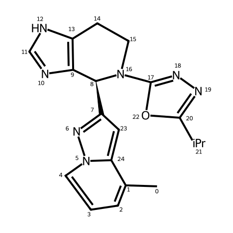 Cc1cccn2nc([C@H]3c4nc[nH]c4CCN3c3nnc(C(C)C)o3)cc12